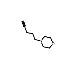 [C]#CCCCN1CCOCC1